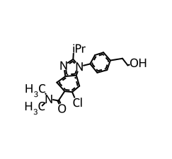 CC(C)c1nc2cc(C(=O)N(C)C)c(Cl)cc2n1-c1ccc(CCO)cc1